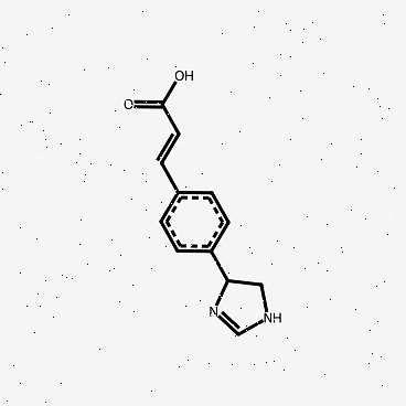 O=C(O)C=Cc1ccc(C2CNC=N2)cc1